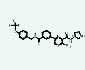 Nc1ncc(-c2cccc(C(=O)NCc3ccc(OC(F)(F)F)cc3)c2)nc1C(=O)N[C@H]1CCNC1